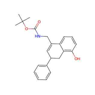 CC(C)(C)OC(=O)NCC1=CC(c2ccccc2)Cc2c(O)cccc21